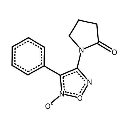 O=C1CCCN1c1no[n+]([O-])c1-c1ccccc1